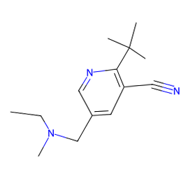 CCN(C)Cc1cnc(C(C)(C)C)c(C#N)c1